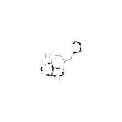 c1coc(CC2CNc3ncnc4ncn2c34)c1